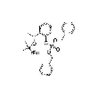 CC(O[Si](C)(C)C(C)(C)C)c1ccccc1OP(=O)(OCc1ccccc1)OCc1ccccc1